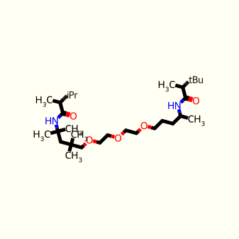 CC(CCCOCCOCCOCC(C)(C)CC(C)(C)NC(=O)C(C)C(C)C)NC(=O)C(C)C(C)(C)C